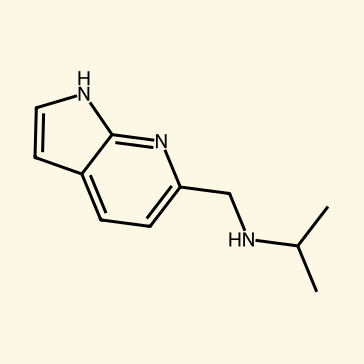 CC(C)NCc1ccc2cc[nH]c2n1